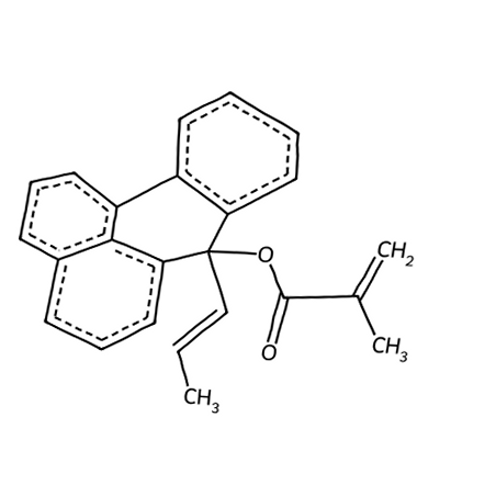 C=C(C)C(=O)OC1(/C=C/C)c2ccccc2-c2cccc3cccc1c23